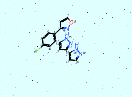 Fc1ccc(-c2ccon2)cc1.c1cn[nH]c1.c1cn[nH]c1